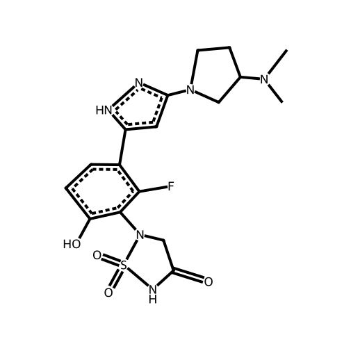 CN(C)C1CCN(c2cc(-c3ccc(O)c(N4CC(=O)NS4(=O)=O)c3F)[nH]n2)C1